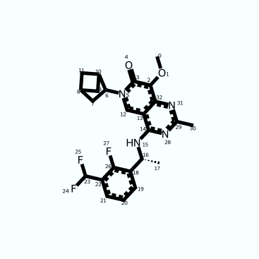 COc1c(=O)n(C2CC3CC2C3)cc2c(N[C@H](C)c3cccc(C(F)F)c3F)nc(C)nc12